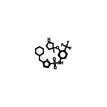 C[C@@]1(Oc2cc(NS(=O)(=O)c3ccc(CC4CCCCC4)s3)ccc2C(F)(F)F)CCNC1